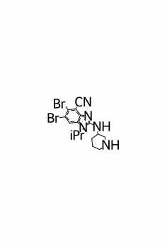 CC(C)n1c(NC2CCCNC2)nc2c(C#N)c(Br)c(Br)cc21